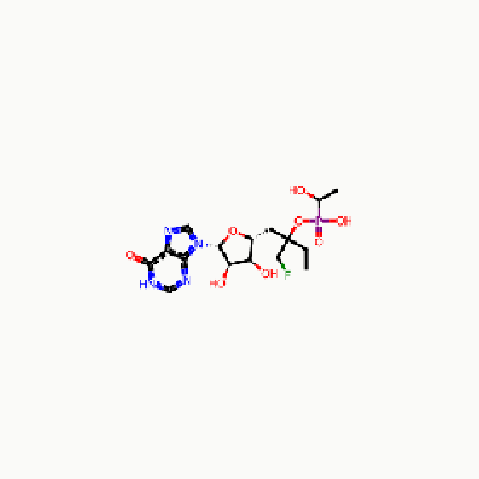 CCC(CF)(C[C@H]1O[C@@H](n2cnc3c(=O)[nH]cnc32)[C@H](O)[C@@H]1O)OP(=O)(O)C(C)O